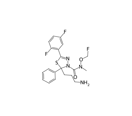 CN(OCF)C(=O)N1N=C(c2cc(F)ccc2F)SC1(CCCN)c1ccccc1